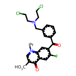 CC(C)n1cc(C(=O)O)c(=O)c2cc(F)c(C(=O)c3cccc(CN(CCCl)CCCl)c3)cc21